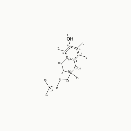 Cc1c(C)c2c(c(C)c1O)CCC(C)(CCC[S+](C)C)O2